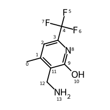 Cc1cc(C(F)(F)F)nc(O)c1CN